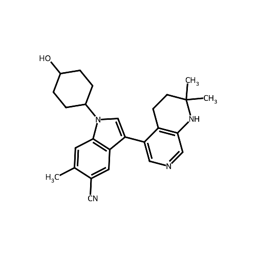 Cc1cc2c(cc1C#N)c(-c1cncc3c1CCC(C)(C)N3)cn2C1CCC(O)CC1